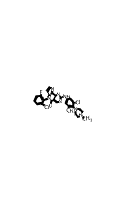 Cc1cc(Nc2ncc3c(=O)n(-c4c(F)cccc4Cl)n4ccnc4c3n2)cc(Cl)c1N1CCN(C)CC1